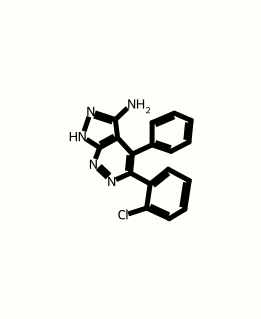 Nc1n[nH]c2nnc(-c3ccccc3Cl)c(-c3ccccc3)c12